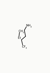 CCC.NCCCC(F)(F)F